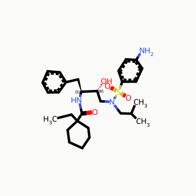 CCC1(C(=O)N[C@@H](Cc2ccccc2)[C@H](O)CN(CC(C)C)S(=O)(=O)c2ccc(N)cc2)CCCCC1